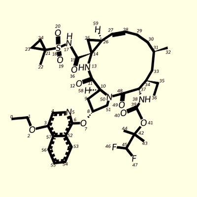 CCOc1cnc(O[C@@H]2C[C@H]3C(=O)N[C@]4(C(=O)NS(=O)(=O)C5(C)CC5)C[C@H]4C=CCC[C@@H](C)C[C@@H](CC)[C@H](NC(=O)OC(C)(C)C(F)F)C(=O)N3C2)c2ccccc12